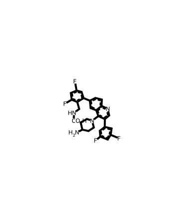 NC1CCN(c2c(-c3cc(F)cc(F)c3)cnc3ccc(-c4cc(F)cc(F)c4CNC(=O)O)cc23)CC1